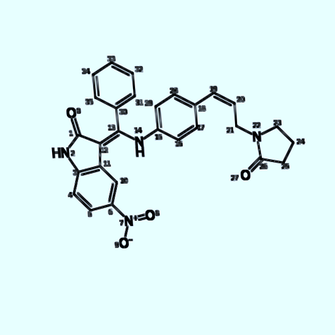 O=C1Nc2ccc([N+](=O)[O-])cc2C1=C(Nc1ccc(/C=C\CN2CCCC2=O)cc1)c1ccccc1